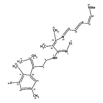 CC\N=C(NCCC(=C(C)C)c1cc(C)cc(F)c1C)/C(C)=C(C)\N=C\C=C\C=C/NC